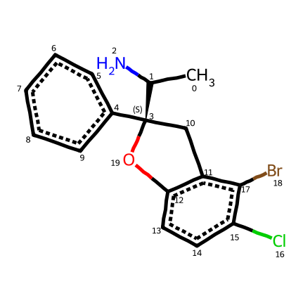 CC(N)[C@@]1(c2ccccc2)Cc2c(ccc(Cl)c2Br)O1